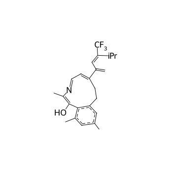 C=C(/C=C(\C(C)C)C(F)(F)F)/C1=C/C=N/C(C)=C(/O)c2c(C)cc(C)cc2CC1